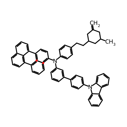 C=C1CC(C)CC(CCc2ccc(N(c3ccc(-c4cccc5cccc(-c6ccccc6)c45)cc3)c3cccc(-c4ccc(-n5c6ccccc6c6ccccc65)cc4)c3)cc2)C1